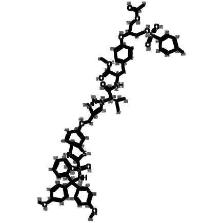 COC(=O)C(Cc1ccc(OC(COC(C)=O)COS(=O)(=O)c2ccc(C)cc2)cc1)NC(=O)[C@H](C(C)C)n1cc(COc2ccc3nc(S(=O)(=O)NC(c4ccccc4)(c4ccc(OC)cc4)c4ccc(OC)cc4)sc3c2)nn1